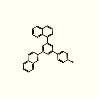 Brc1ccc(-c2cc(-c3cccc4ccccc34)cc(-c3ccc4ccccc4c3)n2)cc1